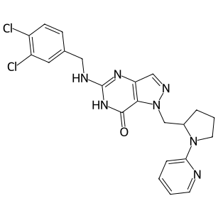 O=c1[nH]c(NCc2ccc(Cl)c(Cl)c2)nc2cnn(CC3CCCN3c3ccccn3)c12